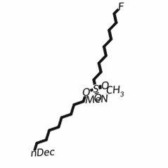 CCCCCCCCCCCCCCCCCCOS(=O)(=O)CCCCCCCCCF.CNC